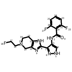 O=C(Nc1c[nH]nc1-c1nc2c([nH]1)CCN(CCF)C2)c1c(F)cccc1F